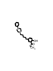 COC(=O)c1cc(CCCCCN2CCN(c3ccccc3)CC2)ccc1O